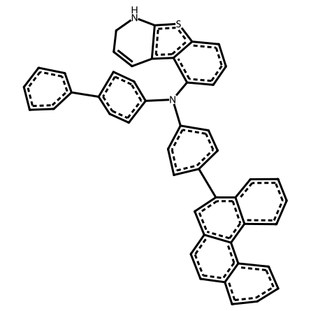 C1=Cc2c(sc3cccc(N(c4ccc(-c5ccccc5)cc4)c4ccc(-c5cc6ccc7ccccc7c6c6ccccc56)cc4)c23)NC1